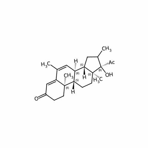 CC(=O)[C@@]1(O)C(C)C[C@H]2[C@@H]3C=C(C)C4=CC(=O)CC[C@]4(C)[C@H]3CC[C@@]21C